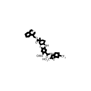 COc1cc(F)c(NC2CCC(C)(C(=O)OCc3cccc4ccccc34)CC2)cc1C(=O)Nc1c(C(=O)O)sc2cc(C(F)(F)F)ccc12